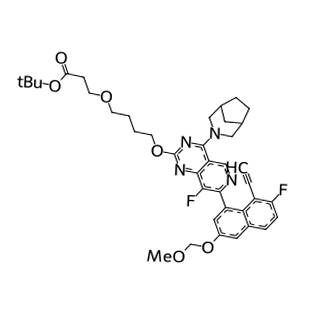 C#Cc1c(F)ccc2cc(OCOC)cc(-c3ncc4c(N5CC6CCC(C6)C5)nc(OCCCCOCCC(=O)OC(C)(C)C)nc4c3F)c12